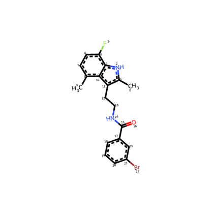 Cc1[nH]c2c(F)ccc(C)c2c1CCNC(=O)c1cccc(Br)c1